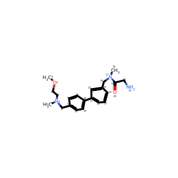 COCCN(C)Cc1ccc(-c2cccc(CN(C)C(=O)CN)c2)cc1